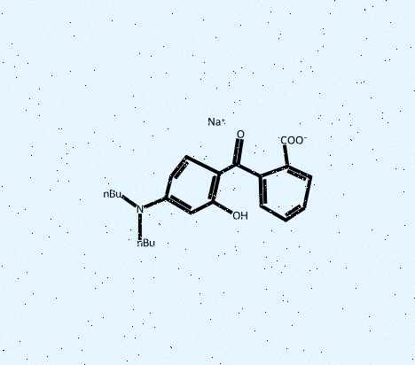 CCCCN(CCCC)c1ccc(C(=O)c2ccccc2C(=O)[O-])c(O)c1.[Na+]